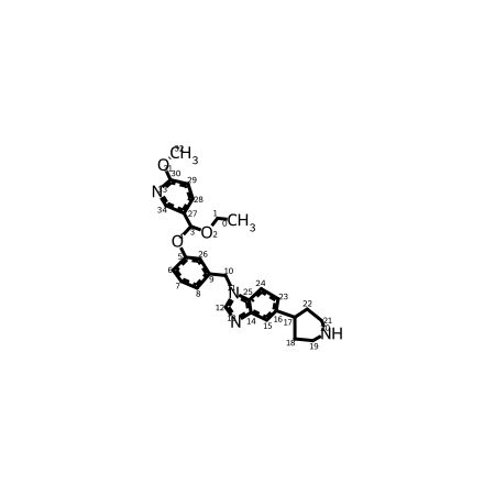 CCOC(Oc1cccc(Cn2cnc3cc(C4CCNCC4)ccc32)c1)c1ccc(OC)nc1